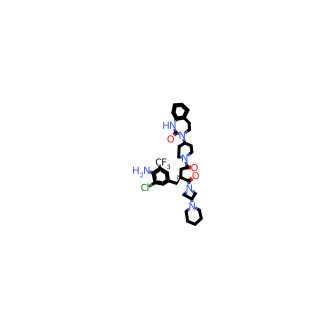 Nc1c(Cl)cc(C[C@@H](CC(=O)N2CCC(N3CCc4ccccc4NC3=O)CC2)C(=O)N2CC(N3CCCCC3)C2)cc1C(F)(F)F